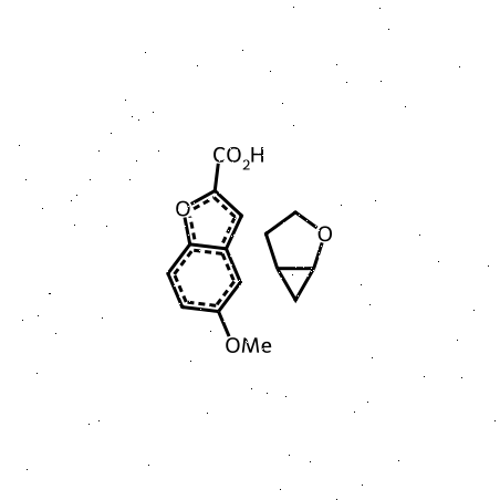 C1CC2CC2O1.COc1ccc2oc(C(=O)O)cc2c1